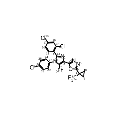 CCc1c(-c2nnc(C3(C(F)(F)F)CC3)o2)nc(-c2ccc(Cl)cc2Cl)n1-c1ccc(Cl)cc1